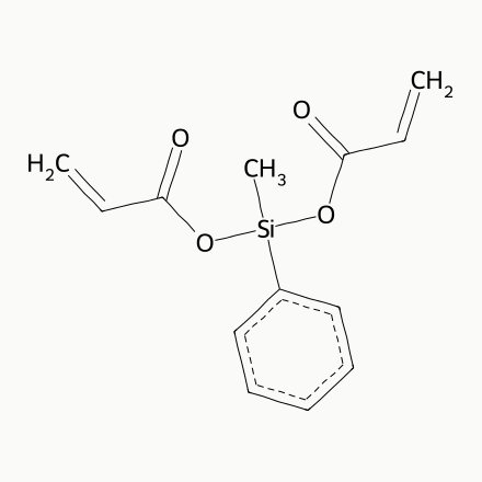 C=CC(=O)O[Si](C)(OC(=O)C=C)c1ccccc1